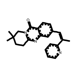 CC(=Cc1ccc2c(=O)n3c(nc2c1)CCC(C)(C)C3)c1ccccn1